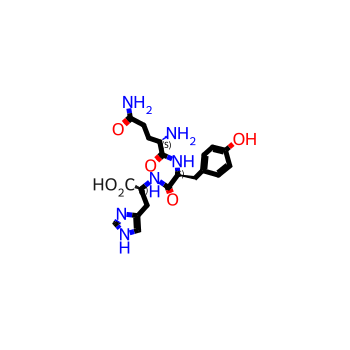 NC(=O)CC[C@H](N)C(=O)N[C@@H](Cc1ccc(O)cc1)C(=O)N[C@@H](Cc1c[nH]cn1)C(=O)O